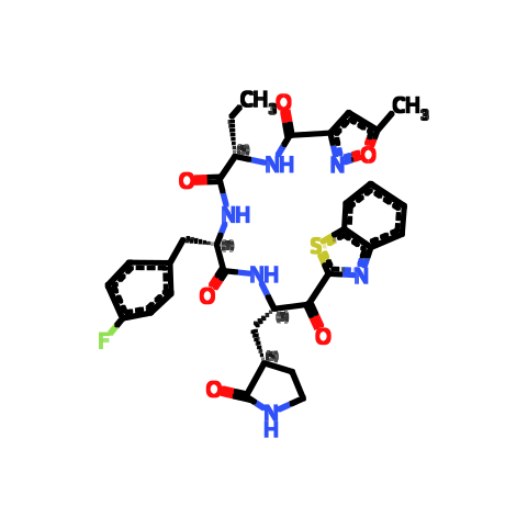 CC[C@H](NC(=O)c1cc(C)on1)C(=O)N[C@@H](Cc1ccc(F)cc1)C(=O)N[C@@H](C[C@@H]1CCNC1=O)C(=O)c1nc2ccccc2s1